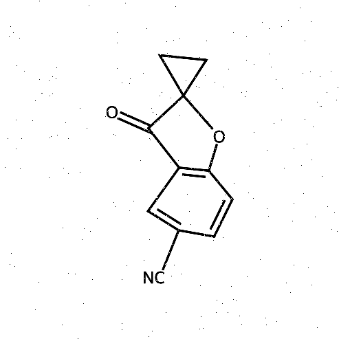 N#Cc1ccc2c(c1)C(=O)C1(CC1)O2